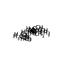 Cc1c(C)c(S(=O)(=O)N(CCC[C@H](NC(=O)OC(C)(C)C)C(=O)O)C(=N)N)c(C)c2c1OC(C)(C)C2